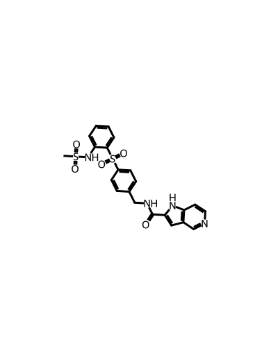 CS(=O)(=O)Nc1ccccc1S(=O)(=O)c1ccc(CNC(=O)c2cc3cnccc3[nH]2)cc1